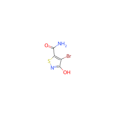 NC(=O)c1snc(O)c1Br